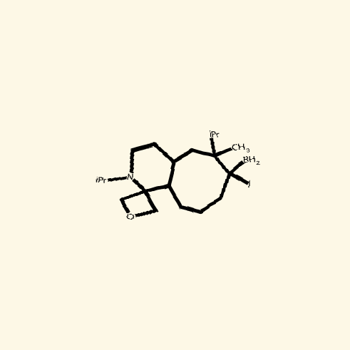 BC1(I)CCCC2C(CCN(C(C)C)C23COC3)CC1(C)C(C)C